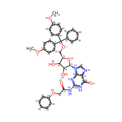 COc1ccc(C(OC[C@H]2O[C@@H](n3cnc4c(=O)[nH]c(NC(=O)COc5ccccc5)nc43)C(O)C2O)(c2ccccc2)c2ccc(OC)cc2)cc1